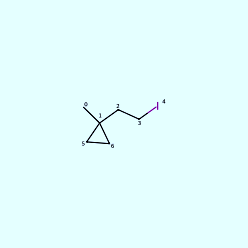 CC1(CCI)CC1